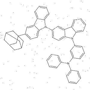 c1ccc(N(c2ccccc2)c2cccc(-n3c4ccccc4c4cc(-n5c6ccccc6c6cc(C78CC9CC(CC(C9)C7)C8)ccc65)ccc43)c2)cc1